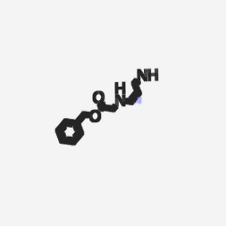 N=C/C=C\NCC(=O)OCc1ccccc1